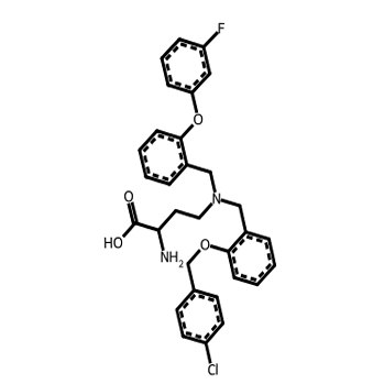 NC(CCN(Cc1ccccc1OCc1ccc(Cl)cc1)Cc1ccccc1Oc1cccc(F)c1)C(=O)O